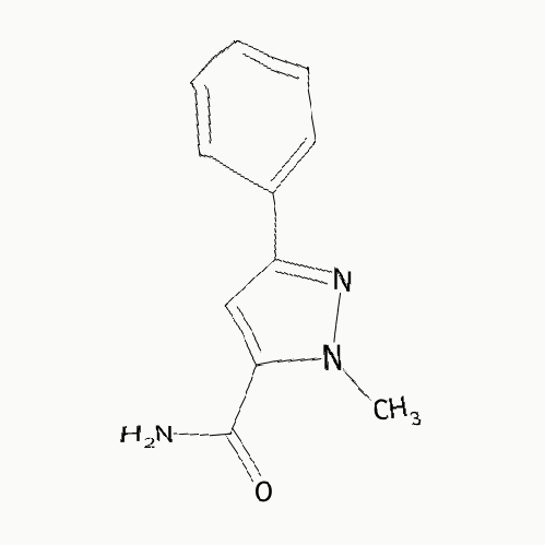 Cn1nc(-c2ccccc2)cc1C(N)=O